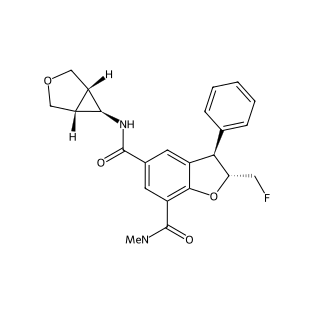 CNC(=O)c1cc(C(=O)N[C@H]2[C@@H]3COC[C@@H]32)cc2c1O[C@@H](CF)[C@@H]2c1ccccc1